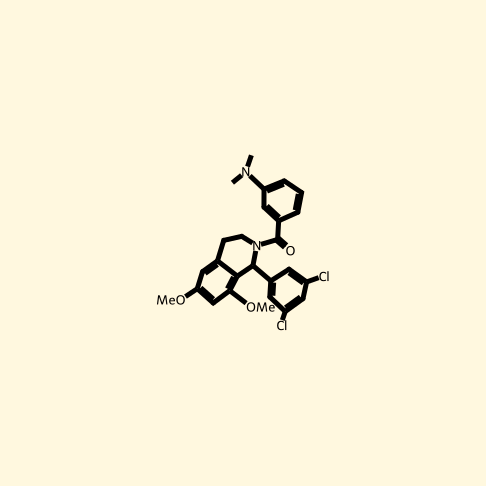 COc1cc2c(c(OC)c1)C(c1cc(Cl)cc(Cl)c1)N(C(=O)c1cccc(N(C)C)c1)CC2